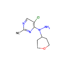 N#Cc1ncc(Cl)c(N(N)C2CCOCC2)n1